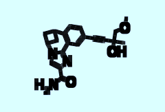 COCC(C)(O)C#Cc1ccc2c(c1)-c1nc(C(N)=O)cn1C1CC2C1